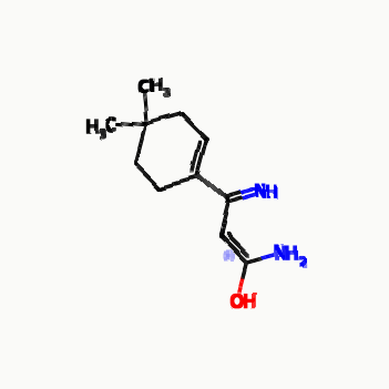 CC1(C)CC=C(C(=N)/C=C(\N)O)CC1